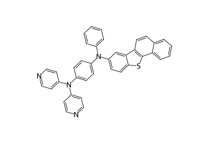 c1ccc(N(c2ccc(N(c3ccncc3)c3ccncc3)cc2)c2ccc3sc4c5ccccc5ccc4c3c2)cc1